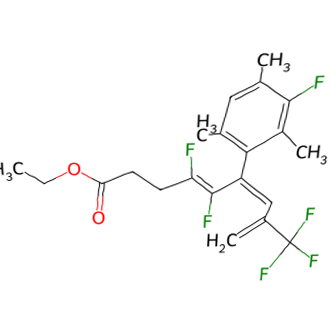 C=C(/C=C(\C(F)=C(/F)CCC(=O)OCC)c1c(C)cc(C)c(F)c1C)C(F)(F)F